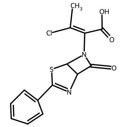 CC(Cl)=C(C(=O)O)N1C(=O)C2N=C(c3ccccc3)SC21